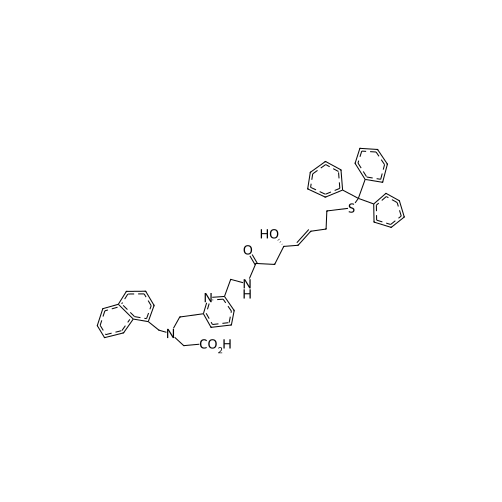 O=C(O)CN(Cc1cccc(CNC(=O)C[C@H](O)C=CCCSC(c2ccccc2)(c2ccccc2)c2ccccc2)n1)Cc1cccc2ccccc12